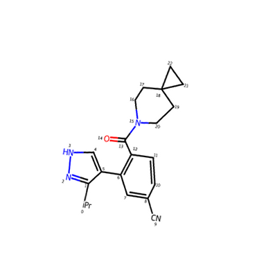 CC(C)c1n[nH]cc1-c1cc(C#N)ccc1C(=O)N1CCC2(CC1)CC2